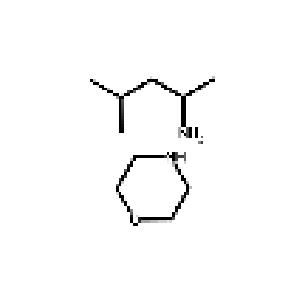 C1COCCN1.CC(C)CC(C)N